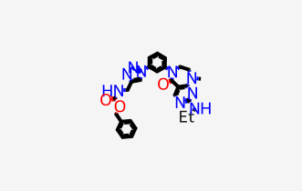 CCNc1ncc2c(n1)N(C)CCN(c1cccc(-n3cc(CNC(=O)OCc4ccccc4)nn3)c1)C2=O